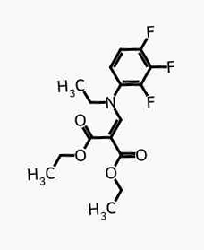 CCOC(=O)C(=CN(CC)c1ccc(F)c(F)c1F)C(=O)OCC